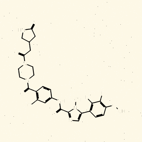 COc1ccc(-c2cnc(C(=O)Nc3ccc(C(=O)N4CCN(C(=O)CC5CNC(=O)C5)CC4)c(Cl)c3)n2C)c(F)c1F